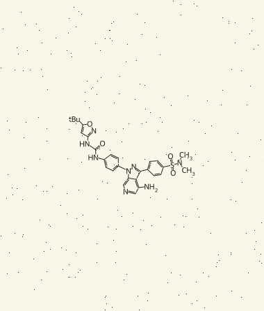 CN(C)S(=O)(=O)c1ccc(-c2nn(-c3ccc(NC(=O)Nc4cc(C(C)(C)C)on4)cc3)c3cncc(N)c23)cc1